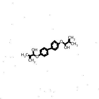 C=C(C)C(O)Oc1ccc(-c2ccc(OC(O)C(=C)C)cc2)cc1